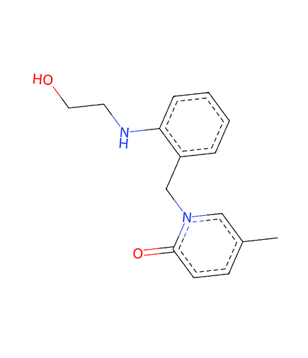 Cc1ccc(=O)n(Cc2ccccc2NCCO)c1